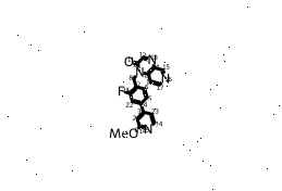 COc1cc(-c2ccc(Cn3c(=O)cnc4cnccc43)c(F)c2)ccn1